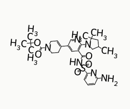 CC1CN(c2ncc(C3=CCN(C(=O)OC(C)(C)C)CC3)cc2C(=O)NS(=O)(=O)c2cccc(N)n2)C(C)(C)C1